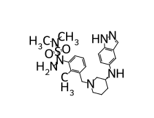 Cc1c(CN2CCC[C@H](Nc3ccc4[nH]ncc4c3)C2)cccc1N(N)S(=O)(=O)N(C)C